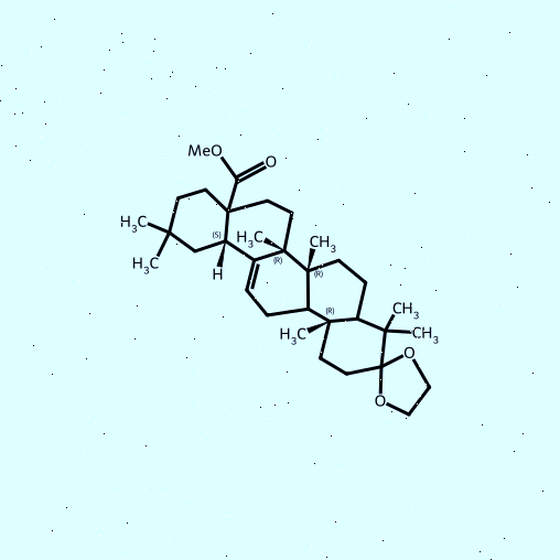 COC(=O)C12CCC(C)(C)C[C@H]1C1=CCC3[C@@]4(C)CCC5(OCCO5)C(C)(C)C4CC[C@@]3(C)[C@@]1(C)CC2